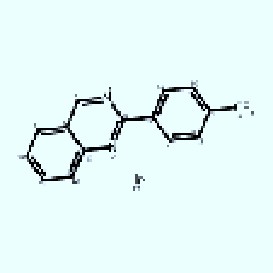 FC(F)(F)c1ccc(-c2ncc3ccccc3n2)cc1.[Ir]